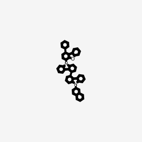 c1ccc(-c2ccc(-n3c4ccccc4c4c(-c5cccc6c5c5ccccc5n6-c5ccc6ccccc6c5)cccc43)c3oc4ccccc4c23)cc1